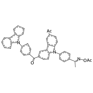 CC(=O)ON=C(C)c1ccc(-n2c3ccc(C(C)=O)cc3c3cc(C(=O)c4ccc(-n5c6ccccc6c6ccccc65)cc4)ccc32)cc1